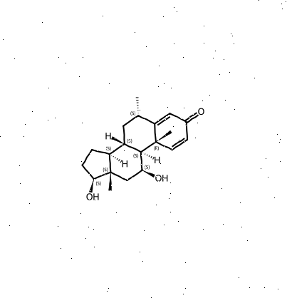 C[C@H]1C[C@@H]2[C@H]([C@@H](O)C[C@]3(C)[C@@H](O)CC[C@@H]23)[C@@]2(C)C=CC(=O)C=C12